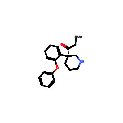 COCC(=O)[C@@]1(C2=C[CH]CC=C2Oc2ccccc2)CCCNC1